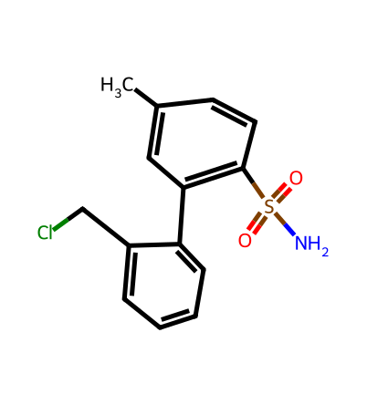 Cc1ccc(S(N)(=O)=O)c(-c2ccccc2CCl)c1